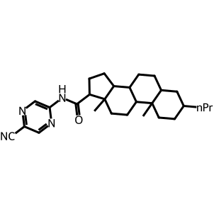 CCCC1CCC2(C)C(CCC3C2CCC2(C)C(C(=O)Nc4cnc(C#N)cn4)CCC32)C1